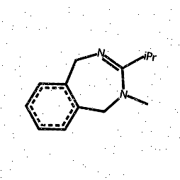 CC(C)C1=NCc2ccccc2CN1C